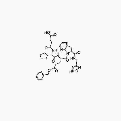 O=C(O)CCC(=O)N[C@H](C(=O)N[C@@H](CCC(=O)OCc1ccccc1)C(=O)N1c2ncccc2C[C@H]1C(=O)NCc1nn[nH]n1)C1CCCC1